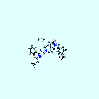 Cl.O=C(CC1CC1)N[C@@H](CCN1CCC2(CC1)CC(=O)N(Cc1ccc(OC(F)(F)F)cc1)C2)c1ccccc1